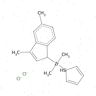 CC1=C[CH]([Zr]([CH3])([CH3])[SiH]2C=CC=C2)c2ccc(C)cc21.[Cl-].[Cl-]